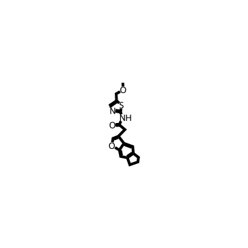 COCc1cnc(NC(=O)Cc2coc3cc4c(cc23)CCC4)s1